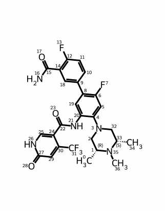 C[C@@H]1CN(c2cc(F)c(-c3ccc(F)c(C(N)=O)c3)cc2NC(=O)c2c[nH]c(=O)cc2C(F)(F)F)C[C@H](C)N1C